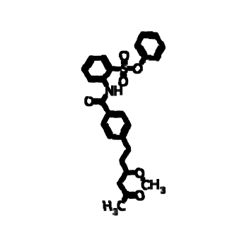 COC(CCc1ccc(C(=O)Nc2ccccc2S(=O)(=O)Oc2ccccc2)cc1)CC(C)=O